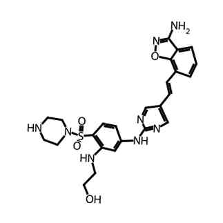 Nc1noc2c(C=Cc3cnc(Nc4ccc(S(=O)(=O)N5CCNCC5)c(NCCO)c4)nc3)cccc12